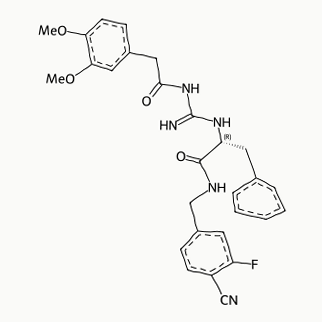 COc1ccc(CC(=O)NC(=N)N[C@H](Cc2ccccc2)C(=O)NCc2ccc(C#N)c(F)c2)cc1OC